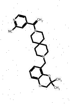 C=C(c1ccnc(C#N)c1)N1CCC2(CCN(Cc3cccc4c3OC(C)(C)CO4)CC2)CC1